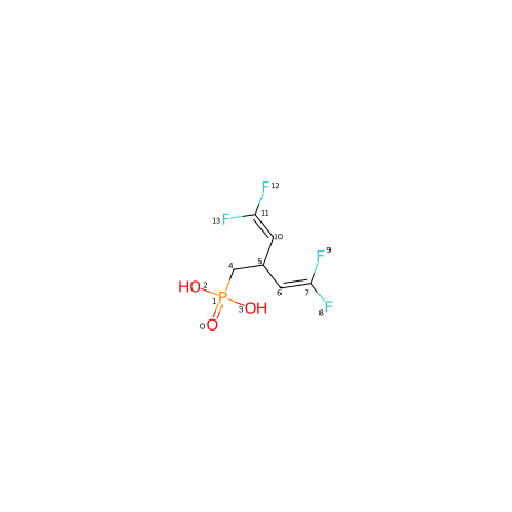 O=P(O)(O)CC(C=C(F)F)C=C(F)F